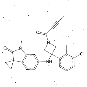 CC#CC(=O)N1CC(Nc2ccc3c(c2)N(C)C(=O)C32CC2)(c2cccc(Cl)c2C)C1